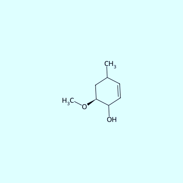 CO[C@H]1CC(C)C=CC1O